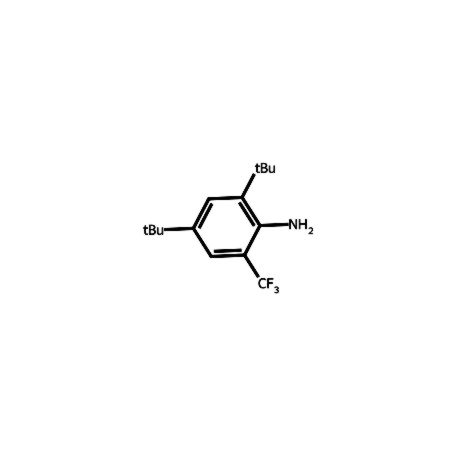 CC(C)(C)c1cc(C(C)(C)C)c(N)c(C(F)(F)F)c1